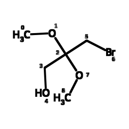 COC(CO)(CBr)OC